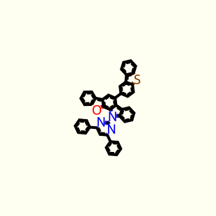 c1ccc(-c2cc(-c3ccccc3)nc(-n3c4ccccc4c4c(-c5ccc6sc7ccccc7c6c5)cc5c6ccccc6oc5c43)n2)cc1